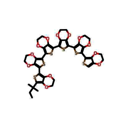 CCC(C)(C)c1sc(-c2sc(-c3sc(-c4sc(-c5sc(-c6scc7c6OCCO7)c6c5OCCO6)c5c4OCCO5)c4c3OCCO4)c3c2OCCO3)c2c1OCCO2